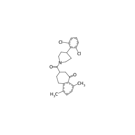 Cc1ccc(C)c2c1CCC(C(=O)N1CCC(c3c(Cl)cccc3Cl)CC1)CC2=O